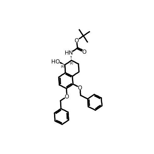 CC(C)(C)OC(=O)N[C@@H]1CCc2c(ccc(OCc3ccccc3)c2OCc2ccccc2)[C@H]1O